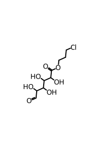 O=CC(O)C(O)C(O)C(O)C(=O)OCCCCl